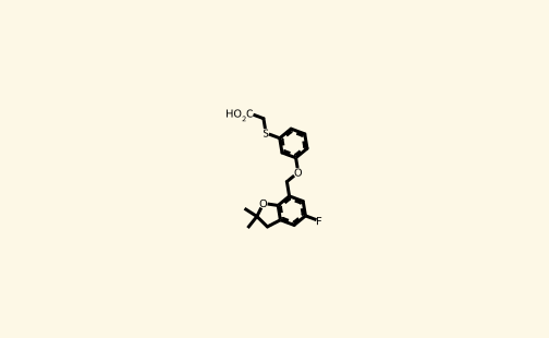 CC1(C)Cc2cc(F)cc(COc3cccc(SCC(=O)O)c3)c2O1